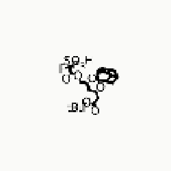 CC(C)(C)OC(=O)CC1CC(COC(=O)C(F)(F)S(=O)(=O)O)OC2(O1)C1CC3CC(C1)CC2C3